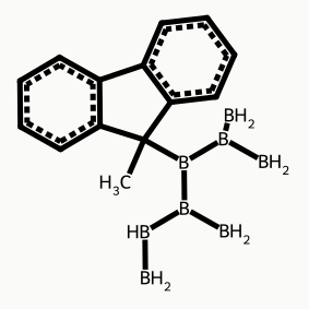 BBB(B)B(B(B)B)C1(C)c2ccccc2-c2ccccc21